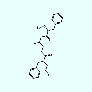 CCON(Cc1ccccc1)C(=O)CC(C)CCC(=O)N(CCO)Cc1ccccc1